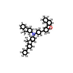 CC1(C)c2ccccc2-c2ccc(N(c3ccc(-c4ccc5oc6ccc7ccccc7c6c5c4)cc3)c3ccc4c(c3)C(C)(C)c3cc(-c5ccccc5)ccc3-4)cc21